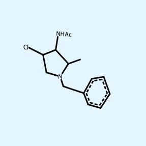 CC(=O)NC1C(Cl)CN(Cc2ccccc2)C1C